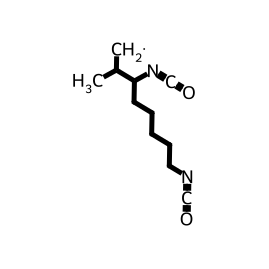 [CH2]C(C)C(CCCCCN=C=O)N=C=O